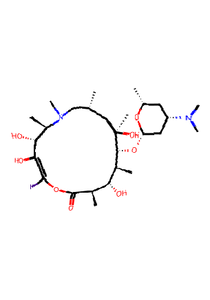 C[C@H]1CN(C)[C@H](C)[C@@H](O)/C(O)=C(/I)OC(=O)[C@H](C)[C@@H](O)[C@H](C)[C@@H](O[C@H]2C[C@@H](N(C)C)C[C@@H](C)O2)[C@](C)(O)C1